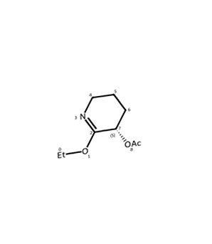 CCOC1=NCCC[C@@H]1OC(C)=O